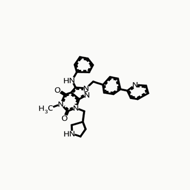 Cn1c(=O)c2c(Nc3ccccc3)n(Cc3ccc(-c4ccccn4)cc3)nc2n(CC2CCNC2)c1=O